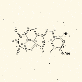 CNC(=O)c1ccc2c3cc4cc5c(ccc(c6ccc(C(N)=O)c1c62)c53)c(=O)n(C)c4=O